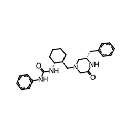 O=C1CN(C[C@@H]2CCCC[C@H]2NC(=O)Nc2ccccc2)C[C@H](Cc2ccccc2)N1